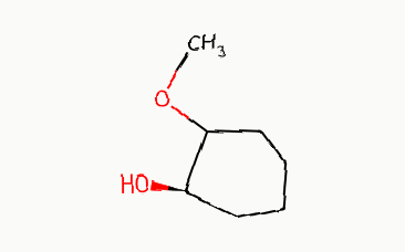 COC1CCCC[C@H]1O